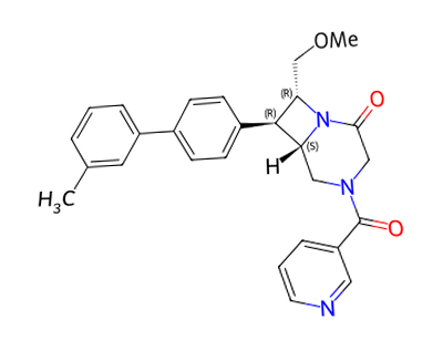 COC[C@H]1[C@H](c2ccc(-c3cccc(C)c3)cc2)[C@H]2CN(C(=O)c3cccnc3)CC(=O)N21